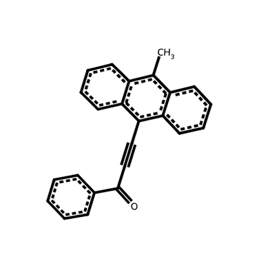 Cc1c2ccccc2c(C#CC(=O)c2ccccc2)c2ccccc12